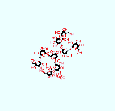 O.O.O.O.OC[C@H]1O[C@H](OC[C@H]2O[C@H](OC[C@H]3O[C@H](OC[C@H]4O[C@H](O[C@]5(CO)O[C@H](CO)[C@@H](O)[C@@H]5O)[C@H](O)[C@@H](O)[C@@H]4O)[C@H](O)[C@@H](O)[C@H]3O)[C@H](O)[C@@H](O)[C@H]2O)[C@H](O)[C@@H](O)[C@H]1O.OC[C@H]1O[C@H](OC[C@H]2O[C@H](OC[C@H]3O[C@H](O[C@]4(CO)O[C@H](CO)[C@@H](O)[C@@H]4O)[C@H](O)[C@@H](O)[C@@H]3O)[C@H](O)[C@@H](O)[C@H]2O)[C@H](O)[C@@H](O)[C@H]1O